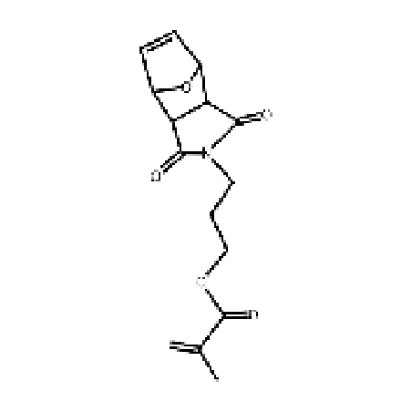 C=C(C)C(=O)OCCCN1C(=O)C2C3C=CC(O3)C2C1=O